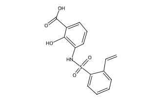 C=Cc1ccccc1S(=O)(=O)Nc1cccc(C(=O)O)c1O